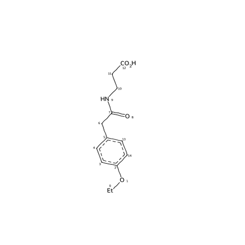 CCOc1ccc(CC(=O)NCCC(=O)O)cc1